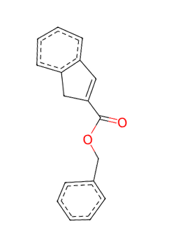 O=C(OCc1ccccc1)C1=Cc2ccccc2C1